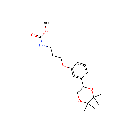 CC(C)(C)OC(=O)NCCCOc1cccc(C2COC(C)(C)C(C)(C)O2)c1